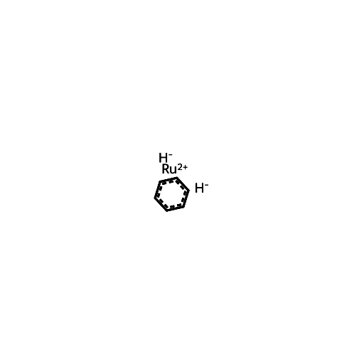 [H-].[H-].[Ru+2].c1ccccc1